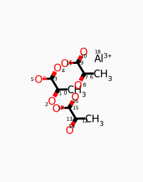 CC(=O)C(=O)[O-].CC(=O)C(=O)[O-].CC(=O)C(=O)[O-].[Al+3]